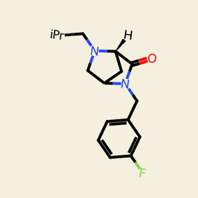 CC(C)CN1CC2C[C@H]1C(=O)N2Cc1cccc(F)c1